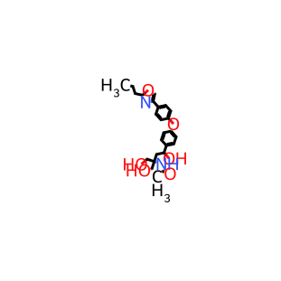 CCCc1nc(-c2ccc(Oc3ccc(C(O)CC(CO)(CO)NC(C)=O)cc3)cc2)co1